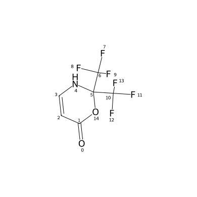 O=C1C=CNC(C(F)(F)F)(C(F)(F)F)O1